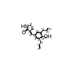 C=CCc1cc(/C=C2\SCNC2=O)cc(CC=C)c1O